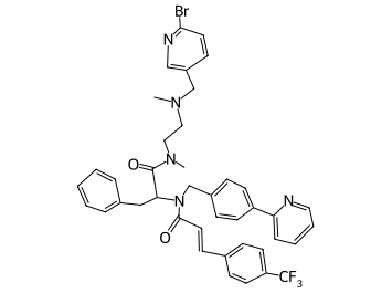 CN(CCN(C)C(=O)C(Cc1ccccc1)N(Cc1ccc(-c2ccccn2)cc1)C(=O)C=Cc1ccc(C(F)(F)F)cc1)Cc1ccc(Br)nc1